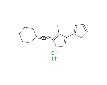 CC1=[C]([Zr+2]=[C]2CCCCC2)CC=C1C1=CC=CC1.[Cl-].[Cl-]